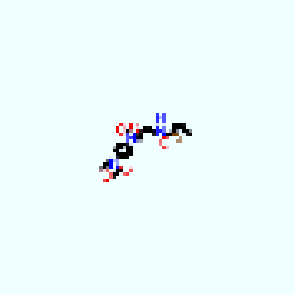 Cc1ccc(C(=O)NC=CC2CN(c3ccc(N4CCOCC4=O)cc3)C(=O)O2)s1